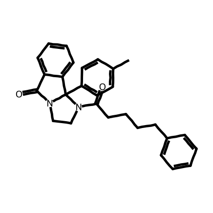 Cc1ccc(C23c4ccccc4C(=O)N2CCN3C(=O)CCCCc2ccccc2)cc1